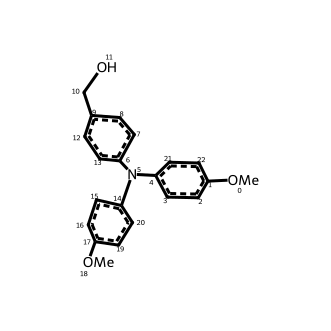 COc1ccc(N(c2ccc(CO)cc2)c2ccc(OC)cc2)cc1